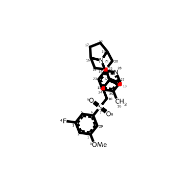 COc1cc(F)cc(S(=O)(=O)CCC(=O)N2CC3CCC(C2)N3c2ccc(C)cn2)c1